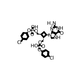 Nc1nc2c(c(=O)[nH]1)NCN2[C@@H]1C[C@H](COP(=O)(O)Oc2ccc(Cl)cc2)[C@H]1COP(=O)(O)Oc1ccc(Cl)cc1